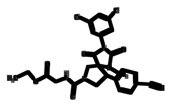 CCOC(=O)CNC(=O)N1CC(c2ccc(C#N)cc2)C2(C1)C(=O)N(c1cc(Cl)cc(Cl)c1)C(=O)N2C